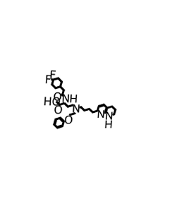 O=C(CC1CCC(F)(F)CC1)NC(CCN(CCCCc1ccc2c(n1)NCCC2)CCOc1ccccc1)C(=O)O